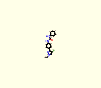 CCn1cc(Br)c(-c2ccc(NC(=O)Nc3ccccc3)cc2)n1